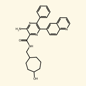 Nc1nc(-c2ccccc2)c(-c2ccc3ncccc3c2)nc1C(=O)NCC1CCCC(O)CC1